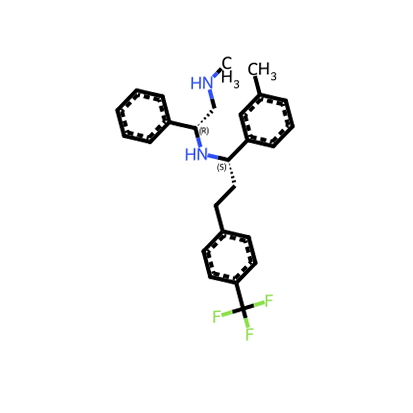 CNC[C@H](N[C@@H](CCc1ccc(C(F)(F)F)cc1)c1cccc(C)c1)c1ccccc1